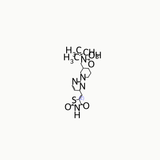 CC(C)(C)N(CC1CCCN(c2nccc(/C=C3\SC(=O)NC3=O)n2)C1)C(=O)O